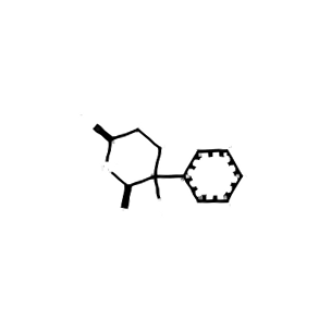 O=C1CCC(F)(c2ccccc2)C(=O)N1